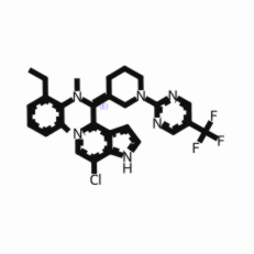 CCc1cccc(C)c1N(C)/C(=C1\CCCN(c2ncc(C(F)(F)F)cn2)C1)c1ncc(Cl)c2[nH]ccc12